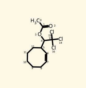 CC(=O)OC(C1C=CCCCCC1)C(Cl)(Cl)Cl